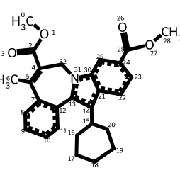 COC(=O)C1=C(C)c2ccccc2-c2c(C3CCCCC3)c3ccc(C(=O)OC)cc3n2C1